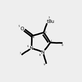 Cc1c(C(C)(C)C)c(=O)n(C)n1C